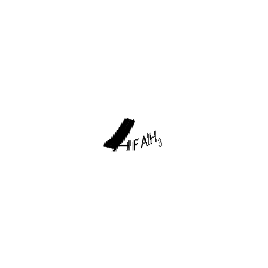 C=C.F.[AlH3]